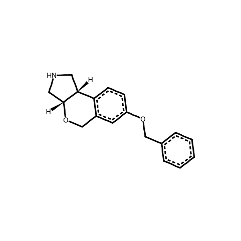 c1ccc(COc2ccc3c(c2)CO[C@@H]2CNC[C@H]32)cc1